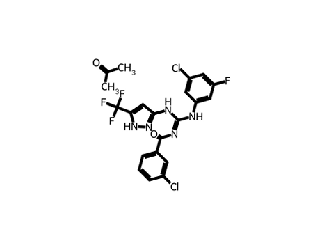 CC(C)=O.O=C(/N=C(/Nc1cc(F)cc(Cl)c1)Nc1cc(C(F)(F)F)[nH]n1)c1cccc(Cl)c1